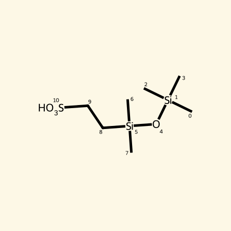 C[Si](C)(C)O[Si](C)(C)CCS(=O)(=O)O